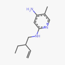 C=CC(CC)CNc1cc(N)c(C)cn1